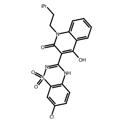 CC(C)CCn1c(=O)c(C2=NS(=O)(=O)c3cc(Cl)ccc3N2)c(O)c2ccccc21